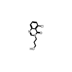 O=c1c2c(Cl)cccc2ncn1CCCO